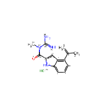 C=C(C)c1cccc2[nH]c(C(=O)N(C)C(=N)N)cc12.Cl